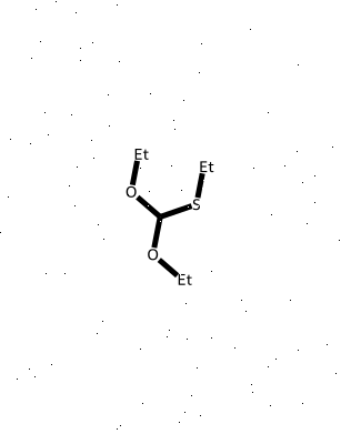 CCOC(OCC)SCC